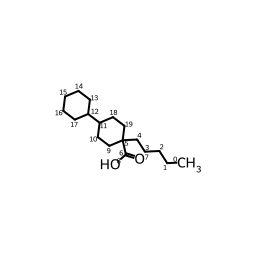 CCCCCC1(C(=O)O)CCC(C2CCCCC2)CC1